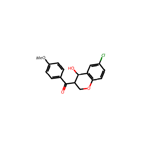 COc1ccc(C(=O)C2COc3ccc(Cl)cc3C2O)cc1